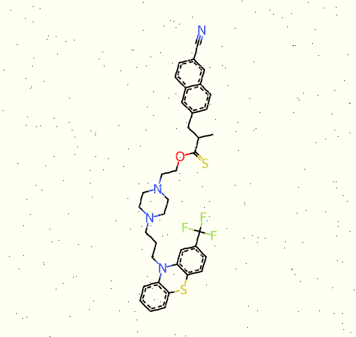 CC(Cc1ccc2cc(C#N)ccc2c1)C(=S)OCCN1CCN(CCCN2c3ccccc3Sc3ccc(C(F)(F)F)cc32)CC1